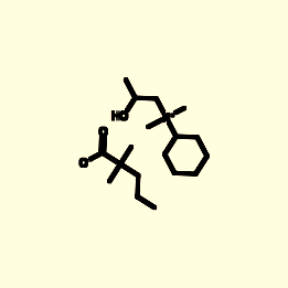 CC(O)C[N+](C)(C)C1CCCCC1.CCCC(C)(C)C(=O)[O-]